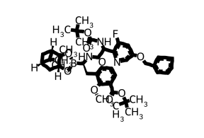 COc1c(C[C@H](NC(=O)C(NC(=O)OC(C)(C)C)c2ncc(OCc3ccccc3)cc2F)B2O[C@@H]3C[C@@H]4C[C@@H](C4(C)C)[C@]3(C)O2)cccc1C(=O)OC(C)(C)C